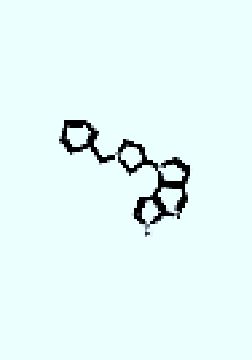 c1ccc(CN2CCC(n3ccc4cnc5[nH]ccc5c43)C2)cc1